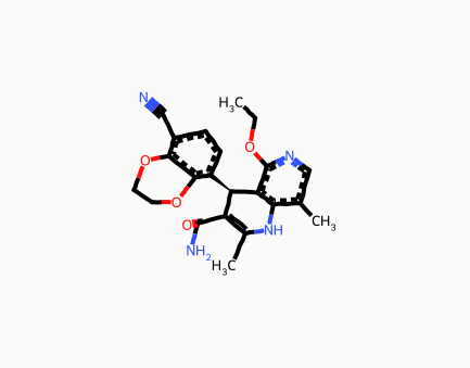 CCOc1ncc(C)c2c1[C@H](c1ccc(C#N)c3c1OCCO3)C(C(N)=O)=C(C)N2